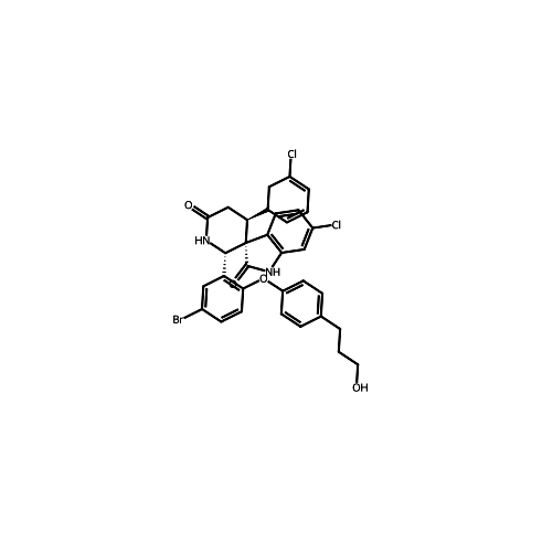 O=C1C[C@@H](C2C=CC=C(Cl)C2)[C@]2(C(=O)Nc3cc(Cl)ccc32)[C@H](c2cc(Br)ccc2Oc2ccc(CCCO)cc2)N1